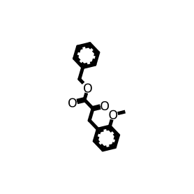 COc1ccccc1CC(=O)C(=O)OCc1ccccc1